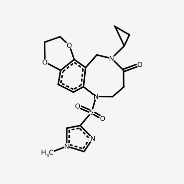 Cn1cnc(S(=O)(=O)N2CCC(=O)N(C3CC3)Cc3c2ccc2c3OCCO2)c1